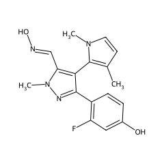 Cc1ccn(C)c1-c1c(-c2ccc(O)cc2F)nn(C)c1C=NO